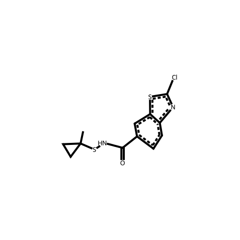 CC1(SNC(=O)c2ccc3nc(Cl)sc3c2)CC1